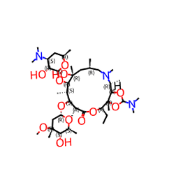 CC[C@H]1OC(=O)[C@H](C)[C@@H](O[C@H]2C[C@@](C)(OC)[C@@H](O)[C@H](C)O2)[C@H](C)[C@@H](O[C@@H]2O[C@H](C)C[C@H](N(C)C)[C@H]2O)[C@](C)(O)C[C@@H](C)CN(C)[C@H](C)[C@H]2OC(N(C)C)O[C@@]21C